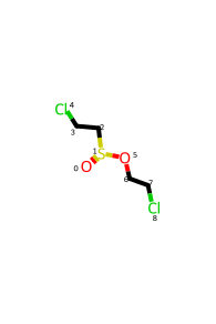 O=S(CCCl)OCCCl